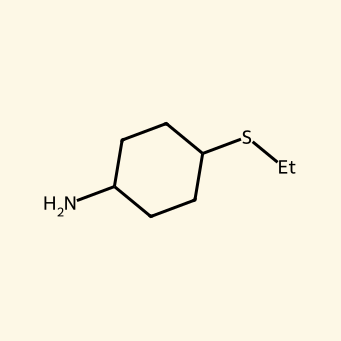 CCSC1CCC(N)CC1